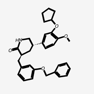 COc1ccc([C@H]2CNC(=O)[C@H](Cc3cccc(OCc4ccccc4)c3)C2)cc1OC1CCCC1